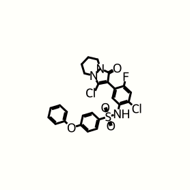 O=c1c(-c2cc(NS(=O)(=O)c3ccc(Oc4ccccc4)cc3)c(Cl)cc2F)c(Cl)n2n1CCCC2